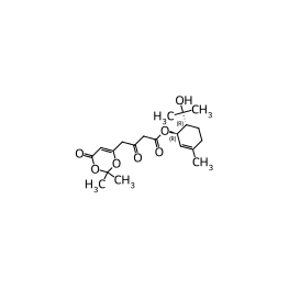 CC1=C[C@@H](OC(=O)CC(=O)CC2=CC(=O)OC(C)(C)O2)[C@H](C(C)(C)O)CC1